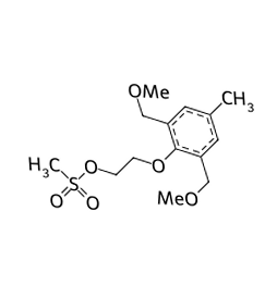 COCc1cc(C)cc(COC)c1OCCOS(C)(=O)=O